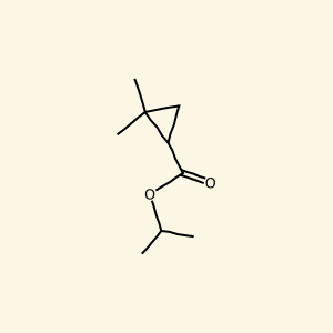 CC(C)OC(=O)C1CC1(C)C